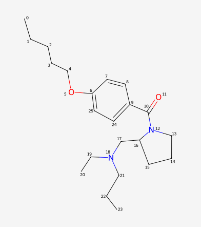 CCCCCOc1ccc(C(=O)N2CCCC2CN(CC)CCC)cc1